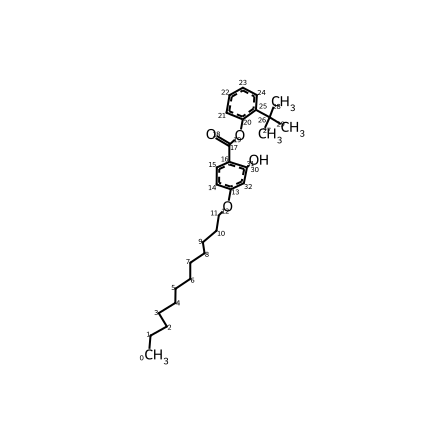 CCCCCCCCCCCCOc1ccc(C(=O)Oc2ccccc2C(C)(C)C)c(O)c1